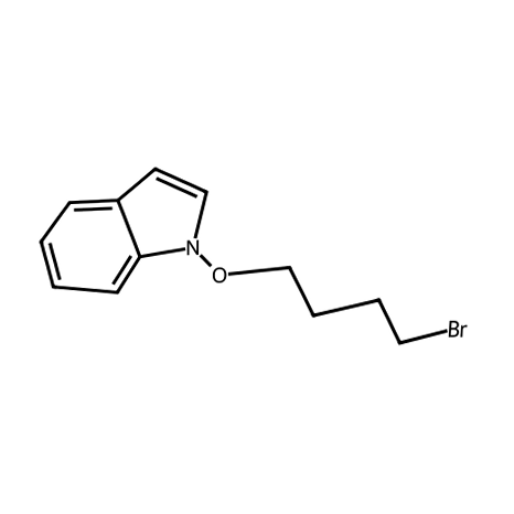 BrCCCCOn1ccc2ccccc21